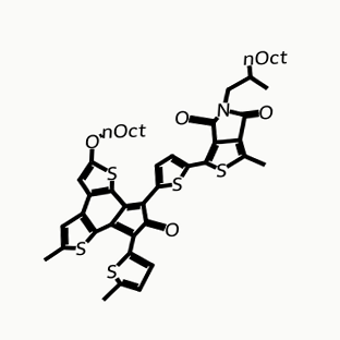 CCCCCCCCOc1cc2c(s1)c1c(c3sc(C)cc32)=C(c2ccc(C)s2)C(=O)C=1c1ccc(-c2sc(C)c3c2C(=O)N(CC(C)CCCCCCCC)C3=O)s1